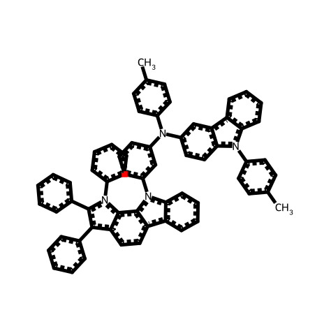 Cc1ccc(N(c2cccc(-n3c4ccccc4c4ccc5c(-c6ccccc6)c(-c6ccccc6)n(-c6ccccc6)c5c43)c2)c2ccc3c(c2)c2ccccc2n3-c2ccc(C)cc2)cc1